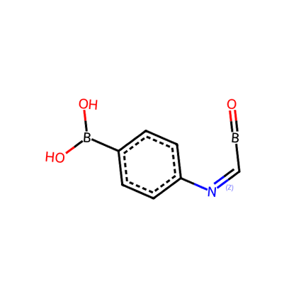 O=B/C=N\c1ccc(B(O)O)cc1